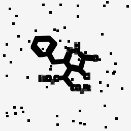 CCOC(=O)C(C(=O)OCC)c1c(Cc2ccccc2)n[nH]c(=O)c1Cl